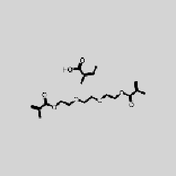 C=C(C)C(=O)OCCOCCOCCOC(=O)C(=C)C.CC=C(C)C(=O)O